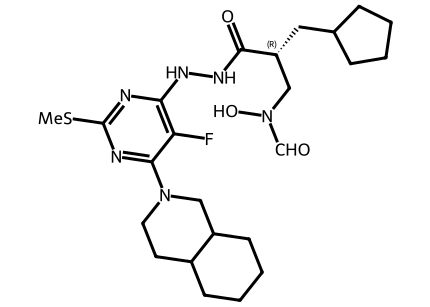 CSc1nc(NNC(=O)[C@H](CC2CCCC2)CN(O)C=O)c(F)c(N2CCC3CCCCC3C2)n1